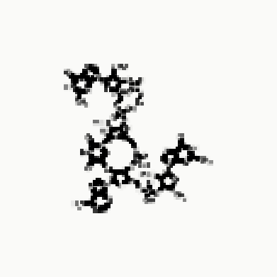 CCOP(=O)(O)OC1C(OC)[C@H](n2cnc3c(=O)[nH]c(N)nc32)O[C@@H]1COP(=O)(O)OC1[C@H]2COP(=O)(O)OC3C(Oc4cn(c(=O)[nH]c4=O)[C@H](O2)[C@H]1OC)[C@H](n1cnc2c(N)ncnc21)O[C@@H]3COP(=O)(O)OC1C(OC)[C@H](n2cnc3c(=O)[nH]c(N)nc32)O[C@@H]1C